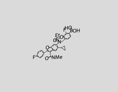 CCS(=O)(=O)N(Cc1ccc(B(O)O)c(F)c1)c1cc2oc(-c3ccc(F)cc3)c(C(=O)NC)c2cc1C1CC1